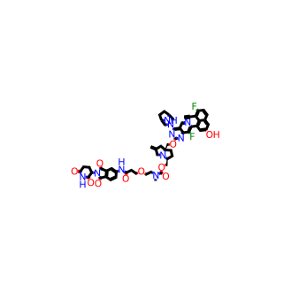 C#Cc1c(F)ccc2cc(O)cc(-c3ncc4c(N5CC6CCC(C5)N6)nc(OC[C@@]56CC[C@@H](COC(=O)N(C)CCOCCC(=O)Nc7ccc8c(c7)C(=O)N(C7CCC(=O)NC7=O)C8=O)N5CC(=C)C6)nc4c3F)c12